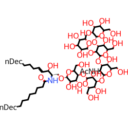 CCCCCCCCCCCCC/C=C/[C@@H](O)[C@H](CO[C@@H]1OC(CO)[C@@H](O[C@@H]2OC(CO)[C@H](O)[C@H](O[C@@H]3OC(CO)[C@@H](O)[C@H](O[C@@H]4OC(CO)[C@H](O)[C@H](O[C@H]5OC(CO)[C@H](O)[C@H](O)C5O)C4O[C@H]4OC(C)[C@@H](O)C(O)[C@@H]4O)C3NC(C)=O)C2O)[C@H](O)C1O)NC(=O)CCCCCCCCCCCCCCCCC